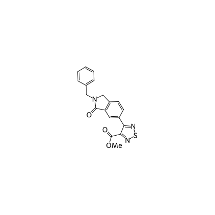 COC(=O)c1nsnc1-c1ccc2c(c1)C(=O)N(Cc1ccccc1)C2